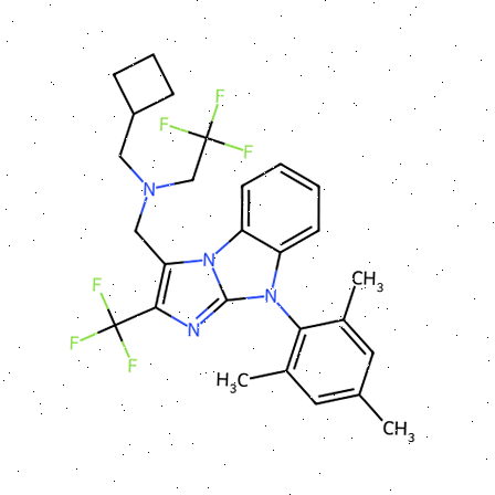 Cc1cc(C)c(-n2c3ccccc3n3c(CN(CC4CCC4)CC(F)(F)F)c(C(F)(F)F)nc23)c(C)c1